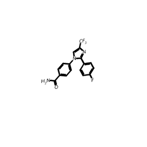 NC(=O)c1ccc(-n2cc(C(F)(F)F)nc2-c2ccc(F)cc2)cc1